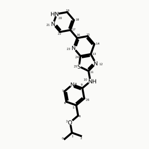 CC(C)OCc1ccnc(Nc2nc3ccc(C4=CCNN=C4)nc3s2)c1